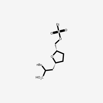 CCCCC(C[C@H]1CC[C@@H](COS(=O)(=O)CC)O1)C(=O)O